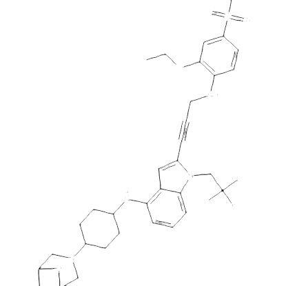 CCOc1cc(S(C)(=O)=O)ccc1NCC#Cc1cc2c(NC3CCC(N4CC5CC(C4)O5)CC3)cccc2n1CC(F)(F)F